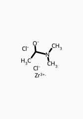 CC([O-])N(C)C.[Cl-].[Cl-].[Zr+3]